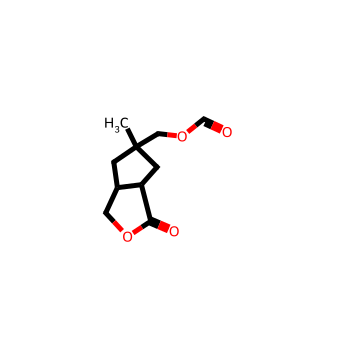 CC1(COC=O)CC2COC(=O)C2C1